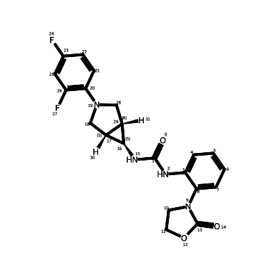 O=C(Nc1ccccc1N1CCOC1=O)N[C@H]1[C@@H]2CN(c3ccc(F)cc3F)C[C@@H]21